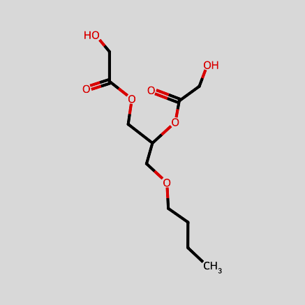 CCCCOCC(COC(=O)CO)OC(=O)CO